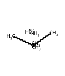 CCCCCCCCCCCCCC[N+](C)(C)CCCCCCCCCCCCCC.Cl.N.[Cl-]